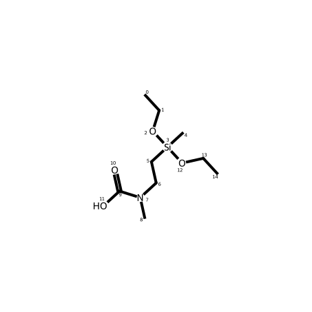 CCO[Si](C)(CCN(C)C(=O)O)OCC